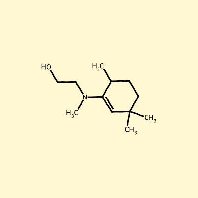 CC1CCC(C)(C)C=C1N(C)CCO